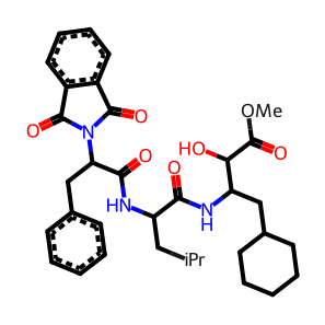 COC(=O)C(O)C(CC1CCCCC1)NC(=O)C(CC(C)C)NC(=O)C(Cc1ccccc1)N1C(=O)c2ccccc2C1=O